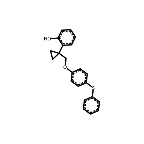 Oc1ccccc1C1(COc2ccc(Sc3ccccc3)cc2)CC1